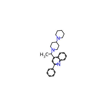 CC(c1cc(-c2ccccc2)nc2ccccc12)N1CCC(N2CCCCC2)CC1